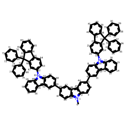 Cn1c2ccc(-c3ccc4c(c3)c3ccccc3n4-c3ccc4c(c3)C(c3ccccc3)(c3ccccc3)c3ccccc3-4)cc2c2cc(-c3ccc4c(c3)c3ccccc3n4-c3ccc4c(c3)C(c3ccccc3)(c3ccccc3)c3ccccc3-4)ccc21